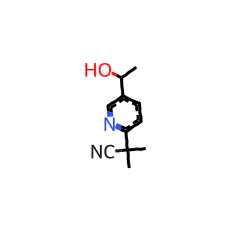 CC(O)c1ccc(C(C)(C)C#N)nc1